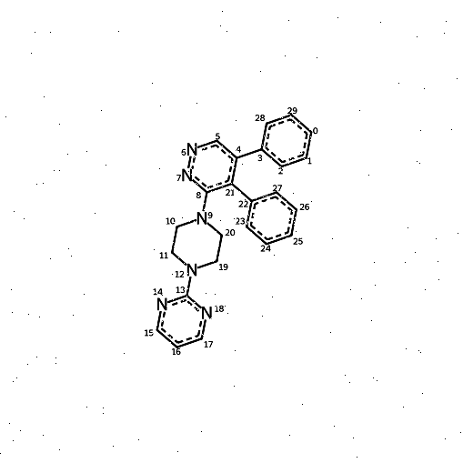 c1ccc(-c2cnnc(N3CCN(c4ncccn4)CC3)c2-c2ccccc2)cc1